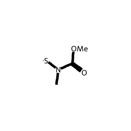 COC(=O)N(C)[S]